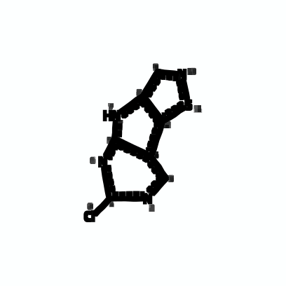 Clc1ncc2c(n1)[nH]c1cnsc12